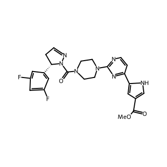 COC(=O)c1c[nH]c(-c2ccnc(N3CCN(C(=O)N4N=CC[C@H]4c4cc(F)cc(F)c4)CC3)n2)c1